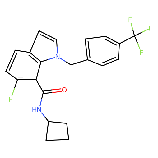 O=C(NC1CCC1)c1c(F)ccc2ccn(Cc3ccc(C(F)(F)F)cc3)c12